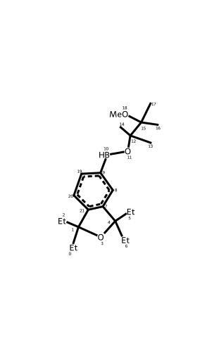 CCC1(CC)OC(CC)(CC)c2cc(BOC(C)(C)C(C)(C)OC)ccc21